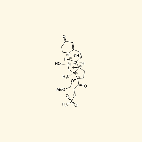 COCO[C@]1(C(=O)COS(C)(=O)=O)CC[C@H]2[C@@H]3CCC4=CC(=O)CC[C@]4(C)[C@H]3[C@@H](O)C[C@@]21C